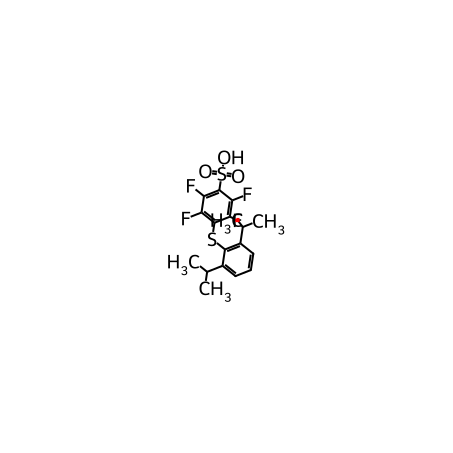 CC(C)c1cccc(C(C)C)c1Sc1c(F)c(F)c(S(=O)(=O)O)c(F)c1F